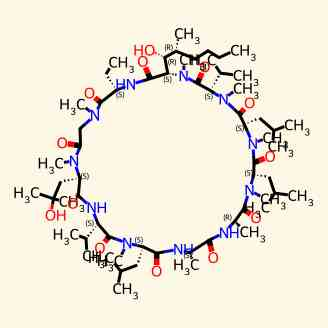 CCCC[C@@H](C)[C@@H](O)[C@H]1C(=O)N[C@@H](CC)C(=O)N(C)CC(=O)N(C)[C@@H](CC(C)(C)O)C(=O)N[C@@H](C(C)C)C(=O)N(C)[C@@H](CC(C)C)C(=O)N[C@@H](C)C(=O)N[C@H](C)C(=O)N(C)[C@@H](CC(C)C)C(=O)N(C)[C@@H](CC(C)C)C(=O)N(C)[C@@H](C(C)C)C(=O)N1C